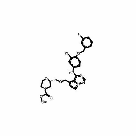 CC(C)(C)OC(=O)N1CCO[C@H](COCc2ccn3ncnc(Nc4ccc(OCc5cccc(F)c5)c(Cl)c4)c23)C1